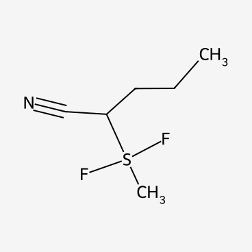 CCCC(C#N)S(C)(F)F